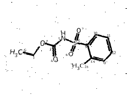 CCOC(=O)NS(=O)(=O)c1ccccc1C